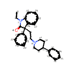 CCN1C(=O)C(CCN2CCC(c3ccccc3)CC2)(c2ccccc2)c2ccccc21